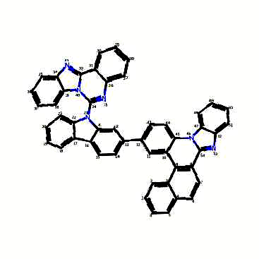 c1ccc2c(c1)ccc1c2c2cc(-c3ccc4c5ccccc5n(-c5nc6ccccc6c6nc7ccccc7n56)c4c3)ccc2n2c3ccccc3nc12